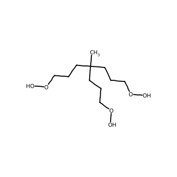 CC(CCCOO)(CCCOO)CCCOO